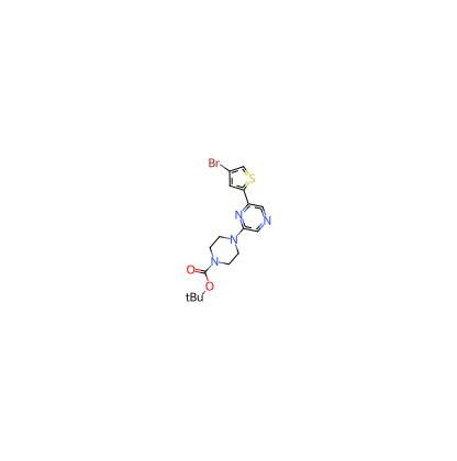 CC(C)(C)OC(=O)N1CCN(c2cncc(-c3cc(Br)cs3)n2)CC1